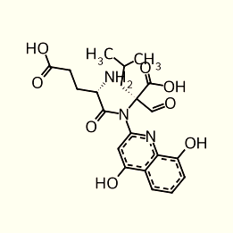 CC(C)C[C@@](C=O)(C(=O)O)N(C(=O)[C@@H](N)CCC(=O)O)c1cc(O)c2cccc(O)c2n1